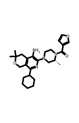 C[C@@H]1CN(c2nc(C3CCCCC3)c3c(c2N)CC(C)(C)OC3)CCN1C(=O)c1ccoc1